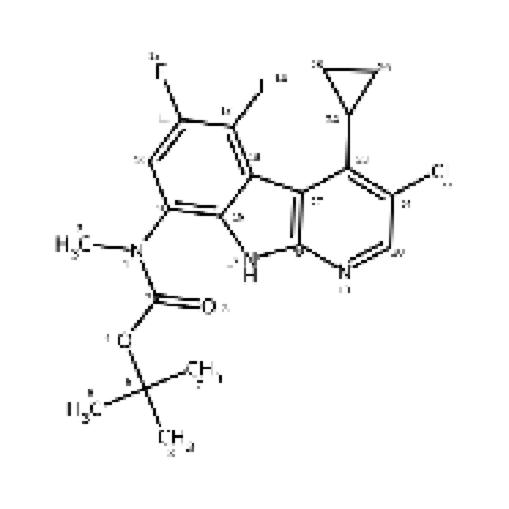 CN(C(=O)OC(C)(C)C)c1cc(F)c(F)c2c1[nH]c1ncc(Cl)c(C3CC3)c12